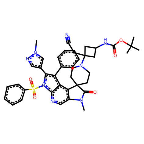 CN1C(=O)C2(CCN(C3(CC#N)CC(NC(=O)OC(C)(C)C)C3)CC2)c2c1cnc1c2c(-c2ccccc2)c(-c2cnn(C)c2)n1S(=O)(=O)c1ccccc1